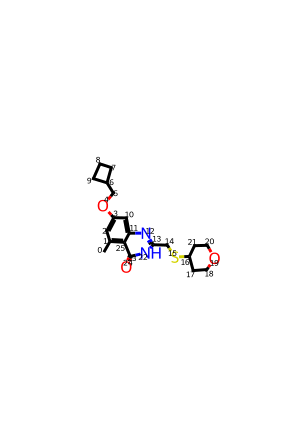 Cc1cc(OCC2CCC2)cc2nc(CSC3CCOCC3)[nH]c(=O)c12